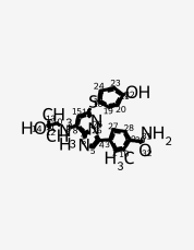 Cc1cc(-c2cnc3c(NCC(C)(C)O)cc(Sc4ccc(O)cc4)nn23)ccc1C(N)=O